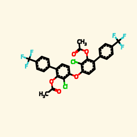 CC(=O)Oc1c(-c2ccc(C(F)(F)F)cc2)ccc(Oc2ccc(-c3ccc(C(F)(F)F)cc3)c(OC(C)=O)c2Cl)c1Cl